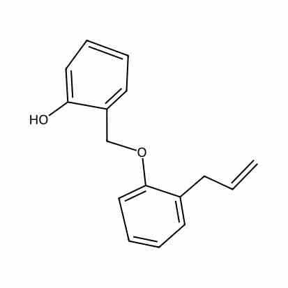 C=CCc1ccccc1OCc1ccccc1O